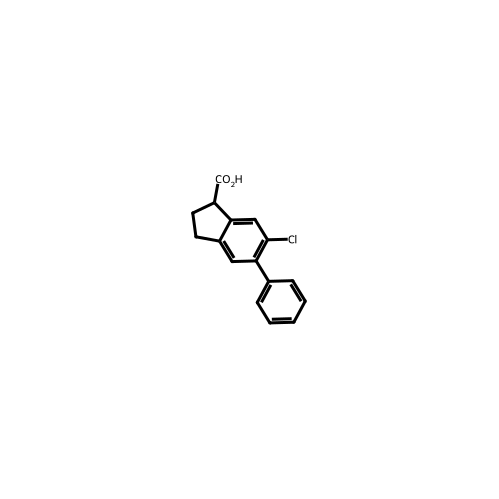 O=C(O)C1CCc2cc(-c3ccccc3)c(Cl)cc21